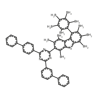 Bc1c(B)c(B)c(-c2c(B)c(B)c(B)c3sc4c(B)c(-c5nc(-c6ccc(-c7ccccc7)cc6)nc(-c6cccc(-c7ccccc7)c6)n5)c(B)c(B)c4c23)c(B)c1B